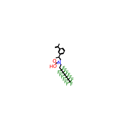 C=C(C)c1cccc(C(C)CN(CCC(F)(F)C(F)(F)C(F)(F)C(F)(F)C(F)(F)C(F)(F)F)C(=O)O)c1